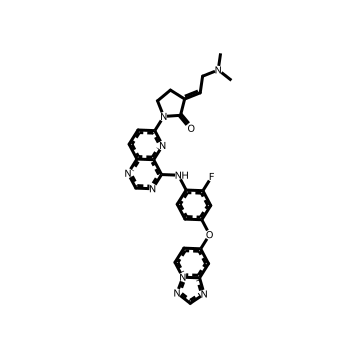 CN(C)C/C=C1\CCN(c2ccc3ncnc(Nc4ccc(Oc5ccn6ncnc6c5)cc4F)c3n2)C1=O